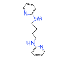 c1ccc(NCCCCNc2ccccn2)nc1